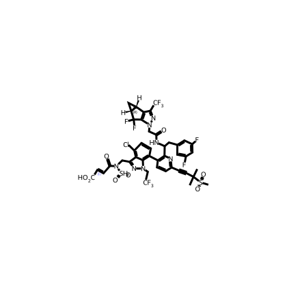 CC(C)(C#Cc1ccc(-c2ccc(Cl)c3c(CN(C(=O)/C=C/C(=O)O)[SH](=O)=O)nn(CC(F)(F)F)c23)c(C(Cc2cc(F)cc(F)c2)NC(=O)Cn2nc(C(F)(F)F)c3c2C(F)(F)[C@@H]2C[C@H]32)n1)S(C)(=O)=O